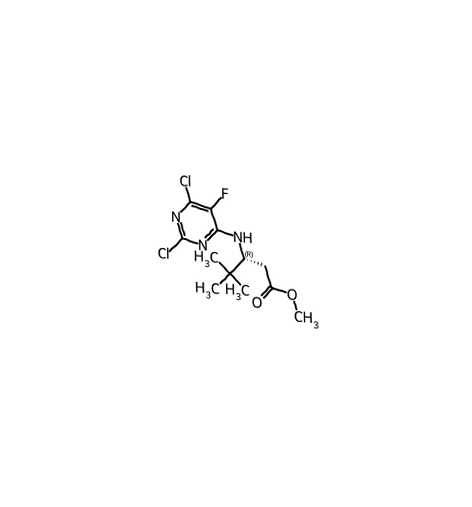 COC(=O)C[C@@H](Nc1nc(Cl)nc(Cl)c1F)C(C)(C)C